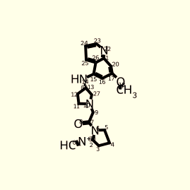 C#[N+][C@@H]1CCCN1C(=O)CN1CC[C@@H](Nc2cc(OC)cc3ncccc23)C1